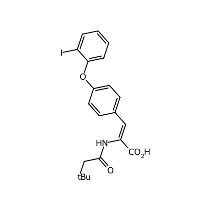 CC(C)(C)CC(=O)NC(=Cc1ccc(Oc2ccccc2I)cc1)C(=O)O